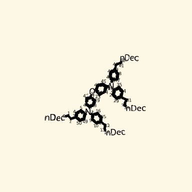 CCCCCCCCCCCCc1ccc(N(c2ccc(CCCCCCCCCCCC)cc2)c2ccc(Oc3ccc(N(c4ccc(CCCCCCCCCCCC)cc4)c4ccc(CCCCCCCCCCCC)cc4)cc3)cc2)cc1